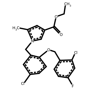 CCOC(=O)c1cc(C)n(Cc2cc(Cl)ccc2OCc2ccc(F)cc2Cl)c1